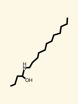 CCCCCCCCCCCCNC(O)CCC